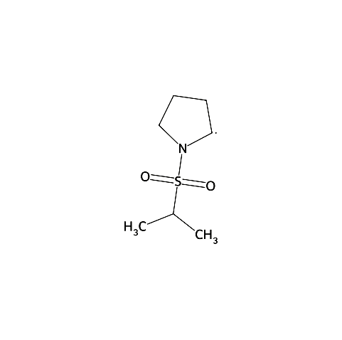 CC(C)S(=O)(=O)N1[CH]CCC1